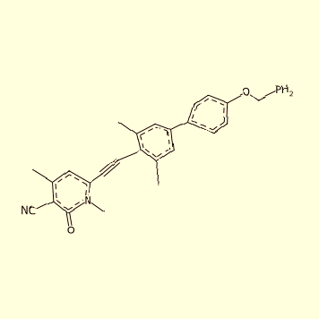 Cc1cc(-c2ccc(OCP)cc2)cc(C)c1C#Cc1cc(C)c(C#N)c(=O)n1C